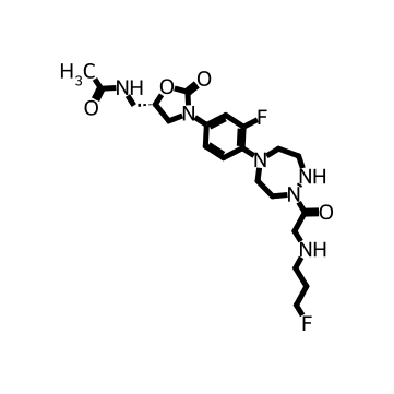 CC(=O)NC[C@H]1CN(c2ccc(N3CCNN(C(=O)CNCCCF)CC3)c(F)c2)C(=O)O1